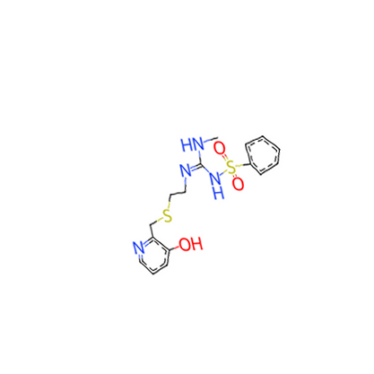 CNC(=NCCSCc1ncccc1O)NS(=O)(=O)c1ccccc1